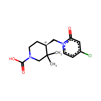 CC1(C)CN(C(=O)O)CC[C@H]1Cn1ccc(Cl)cc1=O